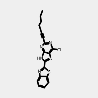 CCCCC#Cc1nc(Cl)c2nc(-c3nc4ccccc4s3)[nH]c2n1